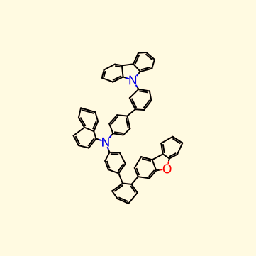 c1cc(-c2ccc(N(c3ccc(-c4ccccc4-c4ccc5c(c4)oc4ccccc45)cc3)c3cccc4ccccc34)cc2)cc(-n2c3ccccc3c3ccccc32)c1